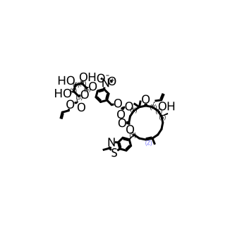 C=CCOC(=O)[C@H]1O[C@@H](Oc2ccc(COC(=O)O[C@H]3CC(=O)O[C@H](c4ccc5sc(C)nc5c4)C/C=C(/C)CCC[C@H](C)[C@H](O)[C@@H](CC=C)C(=O)C3(C)C)cc2[N+](=O)[O-])[C@H](O)[C@@H](O)[C@@H]1O